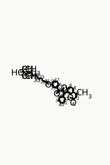 Cc1cc(=O)oc2c1ccc1oc(C(=O)c3cccc(OCCCCCCCC(C)(C)[Si](C)(C)O)c3)c(-c3ccccc3)c12